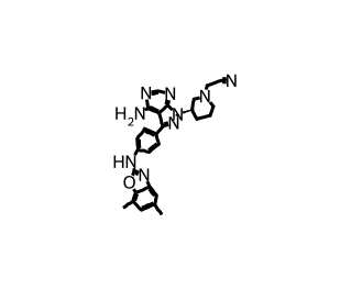 Cc1cc(C)c2oc(Nc3ccc(-c4nn([C@@H]5CCCN(CC#N)C5)c5ncnc(N)c45)cc3)nc2c1